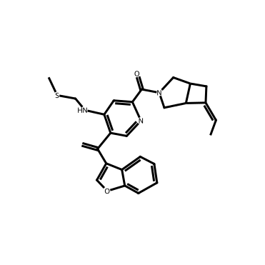 C=C(c1cnc(C(=O)N2CC3C/C(=C/C)C3C2)cc1NCSC)c1coc2ccccc12